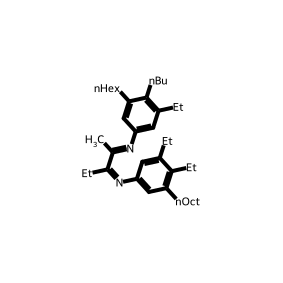 CCCCCCCCc1cc(N=C(CC)C(C)=Nc2cc(CC)c(CCCC)c(CCCCCC)c2)cc(CC)c1CC